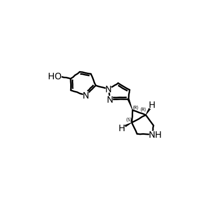 Oc1ccc(-n2ccc([C@H]3[C@@H]4CNC[C@@H]43)n2)nc1